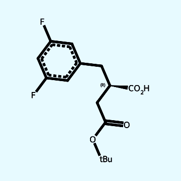 CC(C)(C)OC(=O)C[C@@H](Cc1cc(F)cc(F)c1)C(=O)O